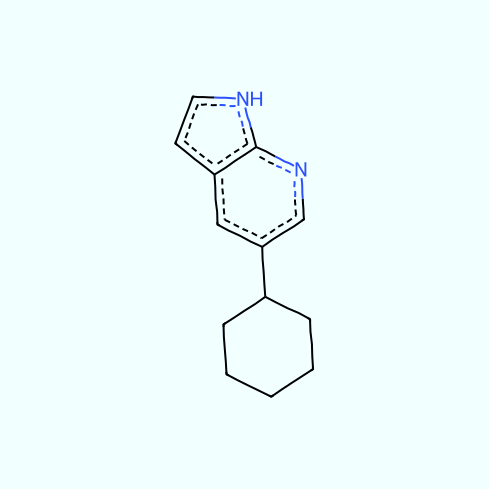 c1cc2cc(C3CCCCC3)cnc2[nH]1